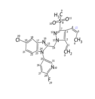 C=Cc1c(/C=C\C)c(S(C)(=O)=O)nn1Cc1nc2cc(Cl)ccc2n1-c1ccc(F)nc1